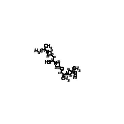 CC(C)N1CC(CC(S)N2CC(OCC(C)N3CC(C)(O)C3)C2)C1